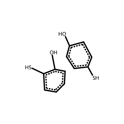 Oc1ccc(S)cc1.Oc1ccccc1S